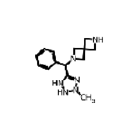 CN1N=C(C(c2ccccc2)N2CC3(CNC3)C2)NN1